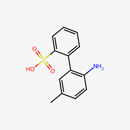 Cc1ccc(N)c(-c2ccccc2S(=O)(=O)O)c1